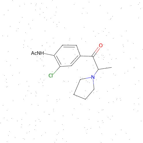 CC(=O)Nc1ccc(C(=O)C(C)N2CCCC2)cc1Cl